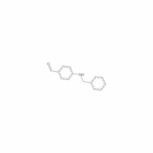 O=Cc1ccc(NCc2ccccc2)cc1